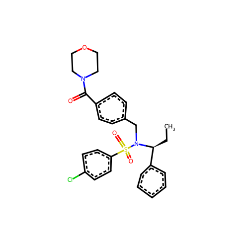 CC[C@@H](c1ccccc1)N(Cc1ccc(C(=O)N2CCOCC2)cc1)S(=O)(=O)c1ccc(Cl)cc1